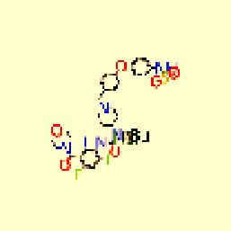 CCCCN(C(=O)Nc1cc(C(=O)N2CCOCC2)c(F)cc1F)C1CCN(Cc2ccc(Oc3ccc(NS(C)(=O)=O)cc3)cc2)CC1.Cl